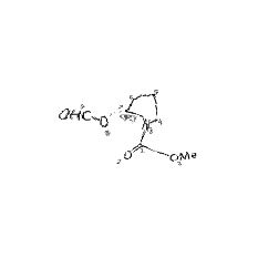 COC(=O)N1CCC[C@H]1OC=O